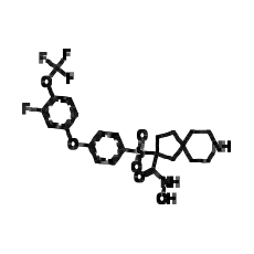 O=C(NO)C1(S(=O)(=O)c2ccc(Oc3ccc(OC(F)(F)F)c(F)c3)cc2)CCC2(CCNCC2)C1